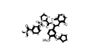 COc1ccc(C(Cc2c(Cl)cncc2Cl)OC(=O)C2SCCN2S(=O)(=O)c2cccc(C(=O)N(C)C)c2)cc1OC1CCCC1